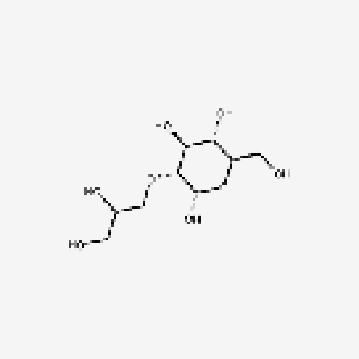 OCC(O)CO[C@@H]1[C@@H](O)[C@H](O)[C@@H](CO)O[C@@H]1O